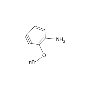 CCCOc1c#cccc1N